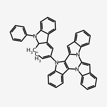 C/C=C(\C=C1\c2ccccc2N(c2ccccc2)C1C)n1c2ccccc2c2c1c1cc3ccccc3n1c1cc3ccccc3n21